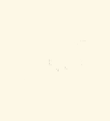 CSc1cc(-c2cc(NCCc3ccc4sccc4c3)ncn2)ccc1CC(=O)O